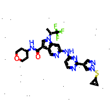 CC(n1cc(C(=O)NC2CCOCC2)c2cnc(Nc3ccnc(-c4cnn(SC5CC5)c4)n3)cc21)C(F)(F)F